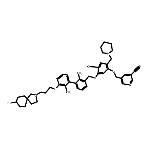 Cc1c(COc2cc(OCc3cncc(C#N)c3)c(CN3CCCCC3)cc2Cl)cccc1-c1cccc(OCCCN2CCC3(CCC(O)CC3)C2)c1C